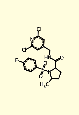 CC1CCC(C(=O)NCc2cc(Cl)nc(Cl)c2)N1S(=O)(=O)c1ccc(F)cc1